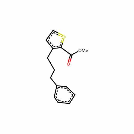 COC(=O)c1sccc1CCCc1ccccc1